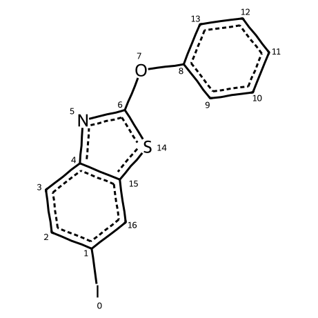 Ic1ccc2nc(Oc3ccccc3)sc2c1